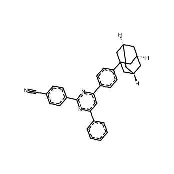 N#Cc1ccc(-c2nc(-c3ccccc3)cc(-c3ccc(C45C[C@H]6C[C@H](C4)C[C@@H](C5)C6)cc3)n2)cc1